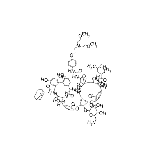 CC[C@H](CC(C)C)C(=O)N[C@H]1C(=O)C[C@@H](CC(=O)NC(=O)Nc2ccc(OCCN(CCOC)CCOC)cc2)C(=O)N[C@H]2C(=O)C[C@H]3C(=O)N[C@H](C(=O)N[C@H](C(=O)CC4C5CC6CC(C5)CC4C6)c4cc(O)cc(O)c4-c4cc3ccc4O)[C@H](O)c3ccc(c(Cl)c3)Oc3cc2cc(c3O[C@@H]2O[C@H](CN)[C@@H](O)[C@H](O)[C@H]2O)Oc2ccc(cc2Cl)[C@H]1O